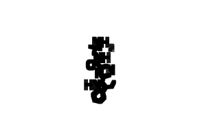 CCc1c(-c2cncc(C(=O)NCC(C)(C)N)n2)[nH]c2ccccc12